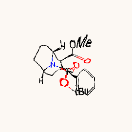 COC(=O)[C@H]1[C@@H](c2ccccc2)C[C@@H]2CC[C@H]1N2C(=O)OC(C)(C)C